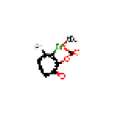 CCc1cccc(=O)c(OC(=O)OC(C)(C)C)c1Br